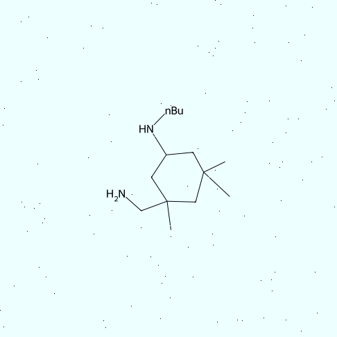 CCCCNC1CC(C)(C)CC(C)(CN)C1